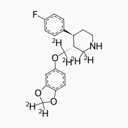 [2H]C1([2H])Oc2ccc(OC([2H])([2H])[C@@H]3[C@@H](c4ccc(F)cc4)CCNC3([2H])[2H])cc2O1